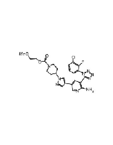 COCCOC(=O)N1CCC(n2cc(-c3cnc(N)c(-c4nnnn4-c4cccc(Cl)c4F)c3)cn2)CC1